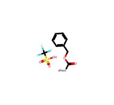 CCCCCC(=O)OCc1ccccc1.O=S(=O)(O)C(F)(F)F